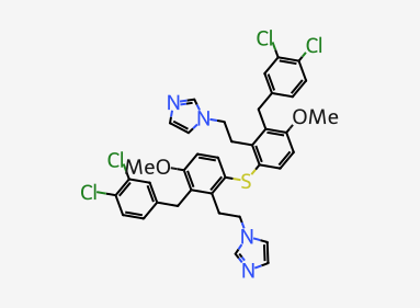 COc1ccc(Sc2ccc(OC)c(Cc3ccc(Cl)c(Cl)c3)c2CCn2ccnc2)c(CCn2ccnc2)c1Cc1ccc(Cl)c(Cl)c1